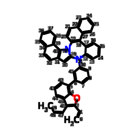 C=Cc1oc2c(-c3cccc(N4c5ccccc5-c5c(ccc6ccccc56)-n5c4cc4ccc6ccccc6c45)c3)cccc2c1/C=C\C